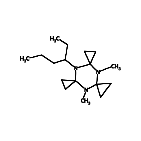 CCCC(CC)N1C2(CC2)N(C)C2(CC2)N(C)C12CC2